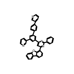 c1ccc(-c2nc(-c3cc(-c4ccc(-c5cccnc5)cc4)cc(-c4cccnc4)c3)cc(-c3cccc4c3oc3ccccc34)n2)cc1